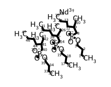 CCCCOP(=O)([O-])CC(CC)CCCC.CCCCOP(=O)([O-])CC(CC)CCCC.CCCCOP(=O)([O-])CC(CC)CCCC.[Nd+3]